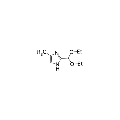 CCOC(OCC)c1nc(C)c[nH]1